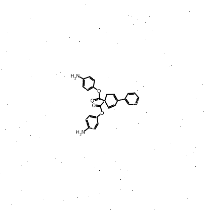 Nc1ccc(OC(=O)C2(C(=O)Oc3ccc(N)cc3)C=CC(c3ccccc3)=CC2)cc1